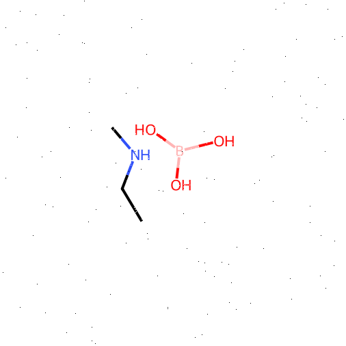 CCNC.OB(O)O